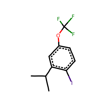 C[C](C)c1cc(OC(F)(F)F)ccc1I